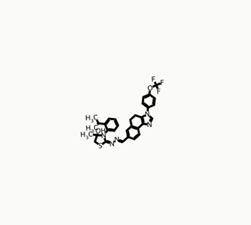 CC(C)c1ccccc1N1C(=NN=Cc2ccc3c(c2)CCc2c-3ncn2-c2ccc(OC(F)(F)F)cc2)SCC1(C)O